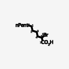 CCCCCCCCCC(Br)C(=O)O